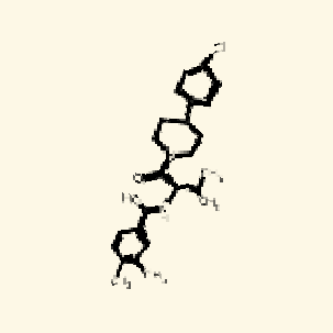 Cc1ccc(C(O)NC(C(=O)N2CCC(c3ccc(Cl)cc3)CC2)C(C)C)cc1C